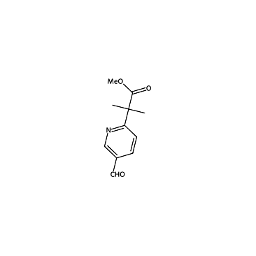 COC(=O)C(C)(C)c1ccc(C=O)cn1